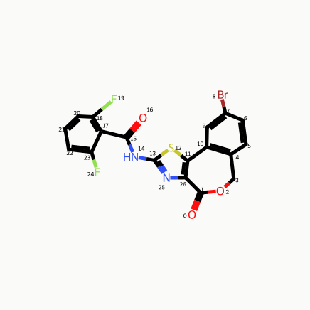 O=C1OCc2ccc(Br)cc2-c2sc(NC(=O)c3c(F)cccc3F)nc21